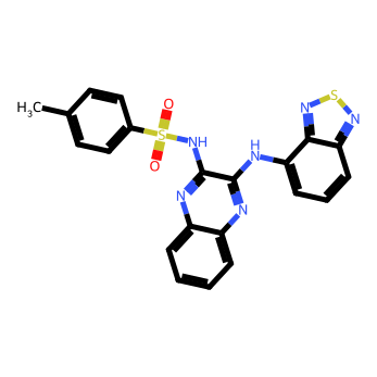 Cc1ccc(S(=O)(=O)Nc2nc3ccccc3nc2Nc2cccc3nsnc23)cc1